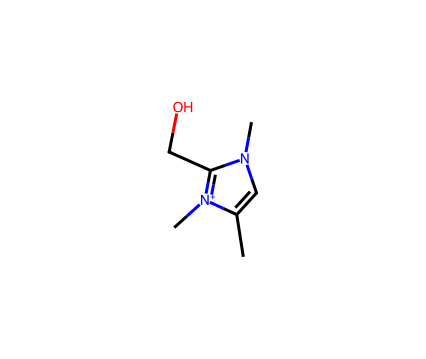 Cc1cn(C)c(CO)[n+]1C